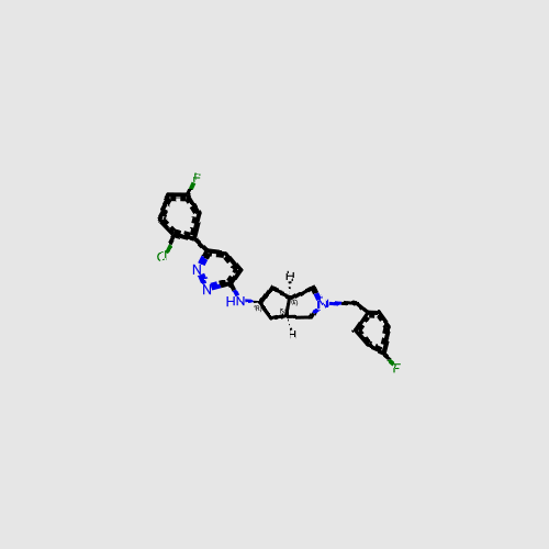 Fc1ccc(CN2C[C@H]3C[C@@H](Nc4ccc(-c5cc(F)ccc5Cl)nn4)C[C@H]3C2)cc1